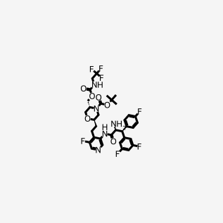 CC(C)(C)OC(=O)N1C[C@@H](CCc2c(F)cncc2NC(=O)[C@@H](N)[C@@H](c2ccc(F)cc2)c2cc(F)cc(F)c2)OC[C@@H]1COC(=O)NCC(F)(F)F